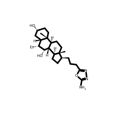 CC[C@H]1[C@@H](O)[C@@H]2[C@H](CC[C@]3(C)[C@@H](CCCc4nnc(N)o4)CC[C@@H]23)[C@@]2(C)CC[C@@H](O)C[C@@H]12